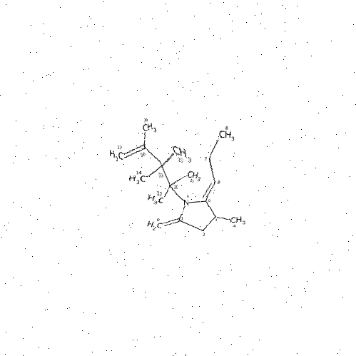 C=C1CC(C)/C(=C/CC)N1C(C)(C)C(C)(C)C(=C)C